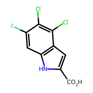 O=C(O)c1cc2c(Cl)c(Cl)c(F)cc2[nH]1